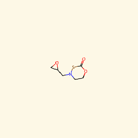 O=C1OCCN(CC2CO2)S1